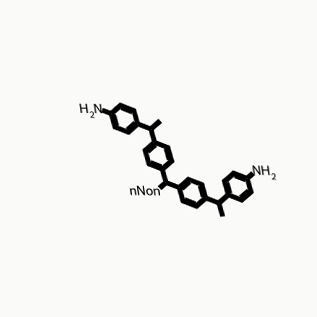 CCCCCCCCCC(c1ccc(C(C)c2ccc(N)cc2)cc1)c1ccc(C(C)c2ccc(N)cc2)cc1